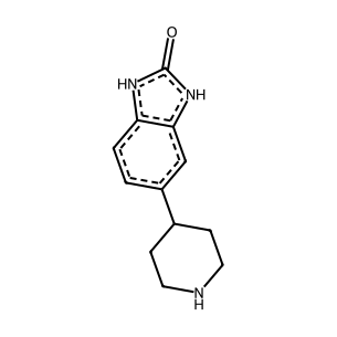 O=c1[nH]c2ccc(C3CCNCC3)cc2[nH]1